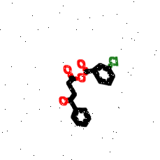 O=C(CCC(=O)c1ccccc1)OC(=O)c1cccc(Cl)c1